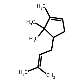 [CH2]/C(C)=C/CC1CC=C(C)C1(C)C